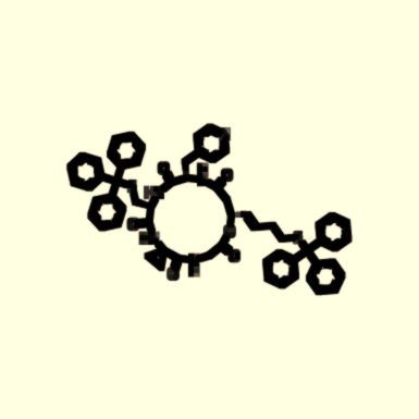 O=C1C[C@H](/C=C/CCSC(c2ccccc2)(c2ccccc2)c2ccccc2)OC(=O)CNC(=O)C2(CC2)NC(=O)[C@@H](CSC(c2ccccc2)(c2ccccc2)c2ccccc2)NC(=O)[C@@H](Cc2ccncc2)N1